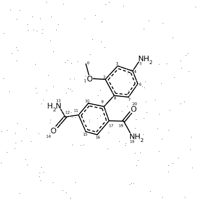 COc1cc(N)ccc1-c1cc(C(N)=O)ccc1C(N)=O